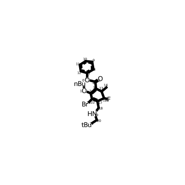 CCCCOC1=C(C(=O)Oc2ccccc2)C(C)C(F)C(CNCC(C)(C)C)=C1Br